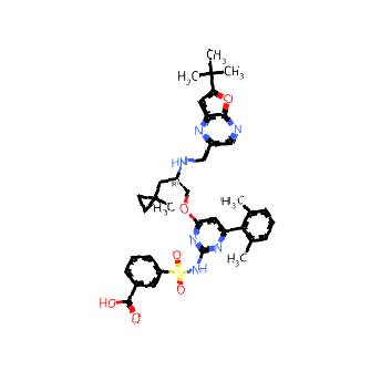 Cc1cccc(C)c1-c1cc(OC[C@@H](CC2(C)CC2)NCc2cnc3oc(C(C)(C)C)cc3n2)nc(NS(=O)(=O)c2cccc(C(=O)O)c2)n1